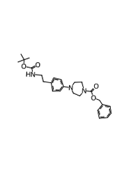 CC(C)(C)OC(=O)NCCc1ccc(N2CCN(C(=O)OCc3ccccc3)CC2)cc1